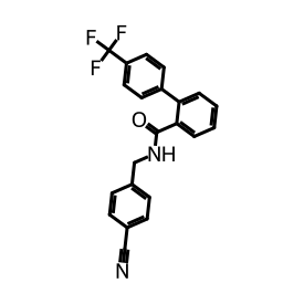 N#Cc1ccc(CNC(=O)c2ccccc2-c2ccc(C(F)(F)F)cc2)cc1